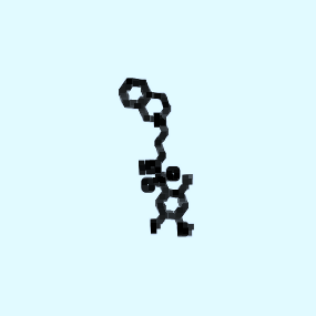 O=S(=O)(NCCCN1CCc2ccccc2C1)c1cc(F)c(Br)cc1F